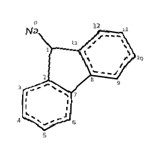 [Na][CH]1c2ccccc2-c2ccccc21